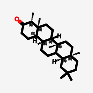 C[C@H]1C(=O)CC[C@@H]2[C@]1(C)CC[C@H]1[C@@]2(C)CCC2[C@@H]3CC(C)(C)CC[C@]3(C)CC[C@@]21C